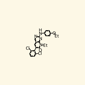 CCOc1ccc(Nc2ncc3cc(-c4c(Cl)cccc4Cl)c(=O)n(CC)c3n2)cc1